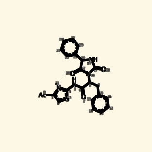 CC(=O)c1csc(NC(=O)C(Cc2ccccc2)N2C(=O)NC(c3ccccc3)C2=O)n1